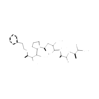 CCC(C)C(C(CC(=O)N1CCCC1C(OC)C(C)C(=S)NCCc1ccccc1)OC)N(C)C(=O)C(NC(=O)C(NC)C(C)C)C(C)C